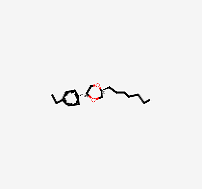 CCCCCCC[C@H]1CO[C@H](c2ccc(CC)cc2)CO1